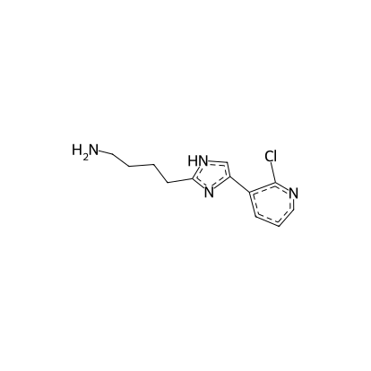 NCCCCc1nc(-c2cccnc2Cl)c[nH]1